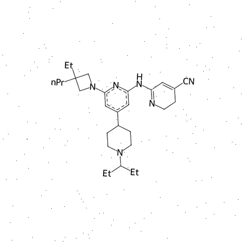 CCCC1(CC)CN(c2cc(C3CCN(C(CC)CC)CC3)cc(NC3=NCCC(C#N)=C3)n2)C1